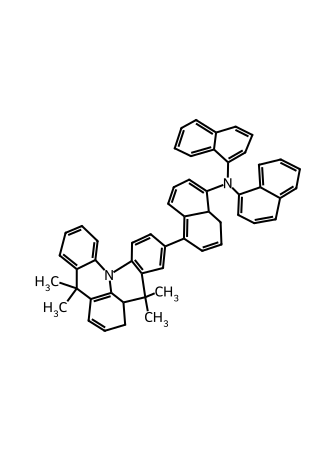 CC1(C)C2=C3C(CC=C2)C(C)(C)c2cc(C4=C5C=CC=C(N(c6cccc7ccccc67)c6cccc7ccccc67)C5CC=C4)ccc2N3c2ccccc21